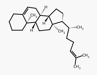 CC(C)=CCC[C@@H](C)[C@H]1CC[C@H]2[C@@H]3CC=C4C[CH]CC[C@]4(C)[C@H]3CC[C@]12C